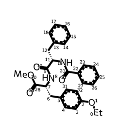 CCOc1ccc(C[C@@H](NC(=O)[C@H](Cc2ccccc2)NC(=O)c2ccccc2)C(=O)OC)cc1